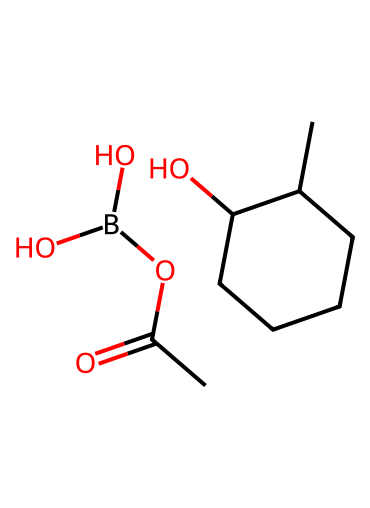 CC(=O)OB(O)O.CC1CCCCC1O